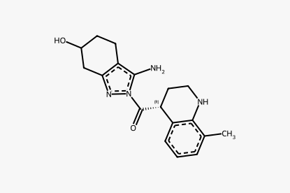 Cc1cccc2c1NCC[C@H]2C(=O)n1nc2c(c1N)CCC(O)C2